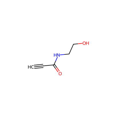 C#CC(=O)NCCO